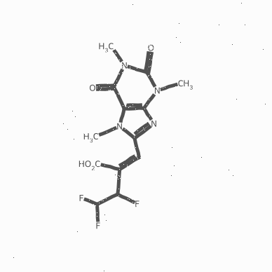 Cn1c(=O)c2c(nc(/C=C(\C(=O)O)C(F)C(F)F)n2C)n(C)c1=O